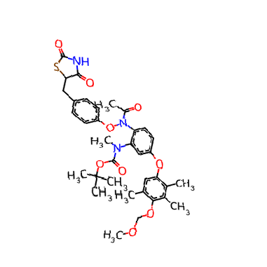 COCOc1c(C)cc(Oc2ccc(N(Oc3ccc(CC4SC(=O)NC4=O)cc3)C(C)=O)c(N(C)C(=O)OC(C)(C)C)c2)c(C)c1C